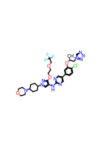 C[C@@H](Cn1cnnn1)Oc1cc(-c2cnc(Nc3cn(C4CCC(N5CCOCC5)CC4)nc3OCCOCC(F)(F)F)nc2)ccc1Cl